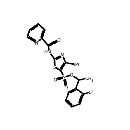 CC(C)c1nc(NC(=O)c2ccccn2)sc1S(=O)(=O)OC(C)c1ccccc1Cl